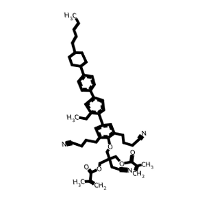 C=C(C)C(=O)OCC(CC#N)(COC(=O)C(=C)C)COc1c(CCCC#N)cc(-c2ccc(-c3ccc(C4CCC(CCCCC)CC4)cc3)cc2CC)cc1CCCC#N